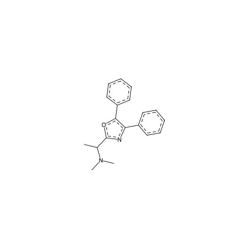 CC(c1nc(-c2ccccc2)c(-c2ccccc2)o1)N(C)C